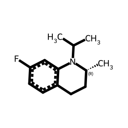 CC(C)N1c2cc(F)ccc2CC[C@H]1C